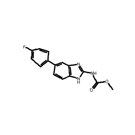 COC(=O)Nc1nc2cc(-c3ccc(F)cc3)ccc2[nH]1